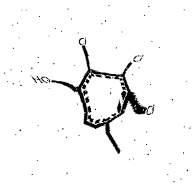 Cc1cc(O)c(Cl)c(Cl)c1Cl